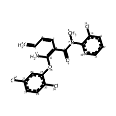 C=C/C=C\C(C(=O)N(C)c1ncccc1Cl)=C(/N)Oc1cc(Cl)ccc1Cl